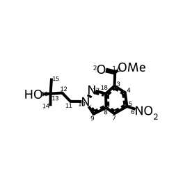 COC(=O)c1cc([N+](=O)[O-])cc2cn(CCC(C)(C)O)nc12